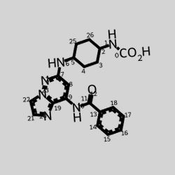 O=C(O)NC1CCC(Nc2cc(NC(=O)c3ccccc3)c3nccn3n2)CC1